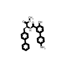 COC(=O)[C@H](Cc1ccc(-c2ccccc2)cc1)NC(=O)c1cc(-c2ccc(N)cc2)ccc1O